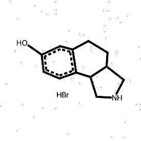 Br.Oc1ccc2c(c1)CCC1CNCC21